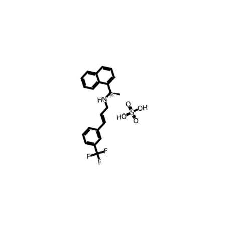 C[C@@H](NCC=Cc1cccc(C(F)(F)F)c1)c1cccc2ccccc12.O=S(=O)(O)O